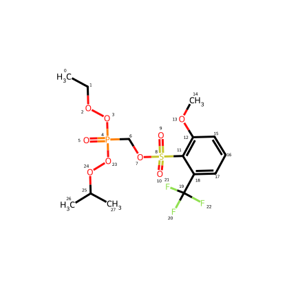 CCOOP(=O)(COS(=O)(=O)c1c(OC)cccc1C(F)(F)F)OOC(C)C